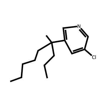 CCCCCC(C)(CCC)c1cncc(Cl)c1